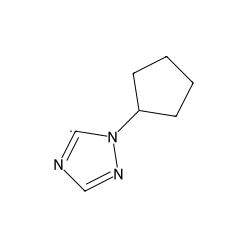 [c]1ncnn1C1CCCC1